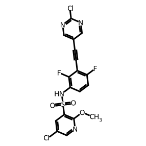 COc1ncc(Cl)cc1S(=O)(=O)Nc1ccc(F)c(C#Cc2cnc(Cl)nc2)c1F